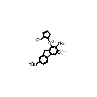 CCC1=[C]([Zr+2][c]2c(C(C)(C)C)ccc3c2Cc2cc(C(C)(C)C)ccc2-3)CC=C1.[Cl-].[Cl-]